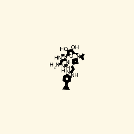 CC(C)N(C[C@H]1O[C@@H](N2CNC3C(N)NCNC32)[C@H](O)[C@@H]1O)[C@H]1C[C@@H](CCC2Nc3ccc(C4CC4)cc3N2)C1